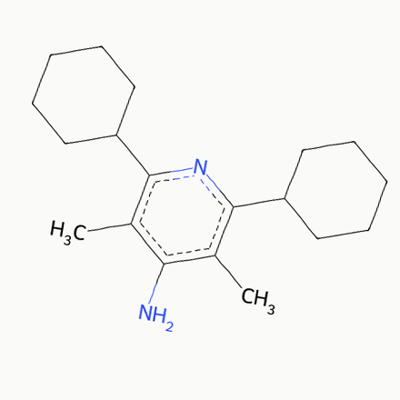 Cc1c(C2CCCCC2)nc(C2CCCCC2)c(C)c1N